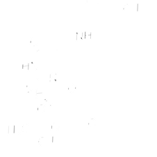 CC(C)=CCNCc1cn([C@@H]2O[C@H](CO)C3OC(C)(C)O[C@@H]32)c(=S)[nH]c1=O